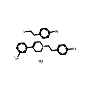 CC(C)c1ccc(CCBr)cc1.CC(C)c1ccc(CCN2CC=C(c3cccc(C(F)(F)F)c3)CC2)cc1.Cl